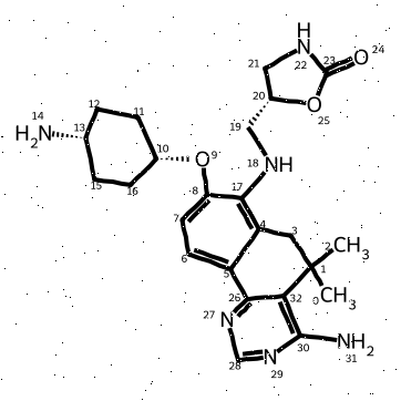 CC1(C)Cc2c(ccc(O[C@H]3CC[C@@H](N)CC3)c2NC[C@@H]2CNC(=O)O2)-c2ncnc(N)c21